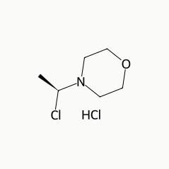 C[C@H](Cl)N1CCOCC1.Cl